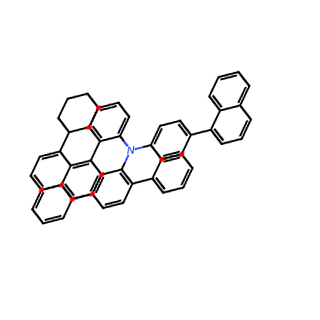 C1=CCC(c2ccc(-c3ccccc3)c(N(c3ccc(-c4cccc5ccccc45)cc3)c3ccccc3-c3cccc4cccc(C5CCCCC5)c34)c2)C=C1